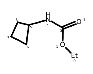 CCOC(=O)NC1CCC1